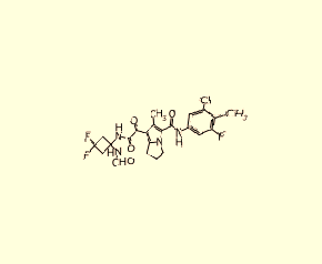 Cc1c(F)cc(NC(=O)c2c(C)c(C(=O)C(=O)NC3(NC=O)CC(F)(F)C3)c3n2CCC3)cc1Cl